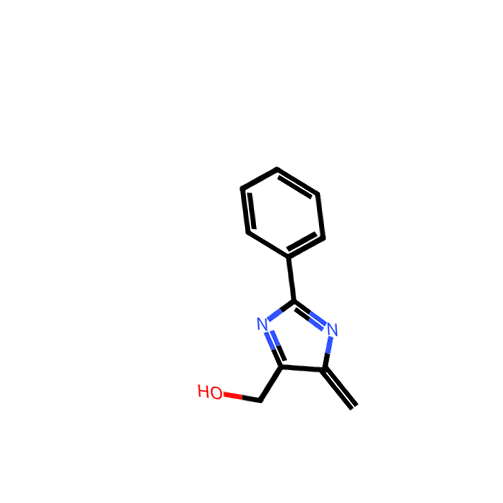 C=C1N=C(c2ccccc2)N=C1CO